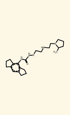 CC1CCCN1CCNCCSNC(=O)Nc1c2c(cc3c1CCC3)CCC2